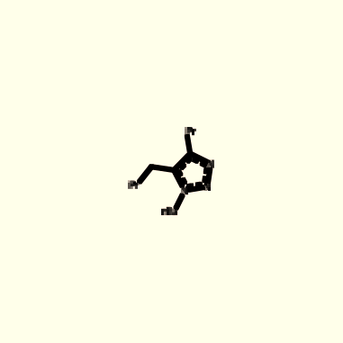 CCCCn1nnc(C(C)C)c1CC(C)C